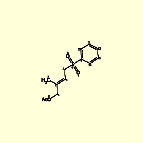 CC(=O)OC/C(C)=C/CS(=O)(=O)c1ccccc1